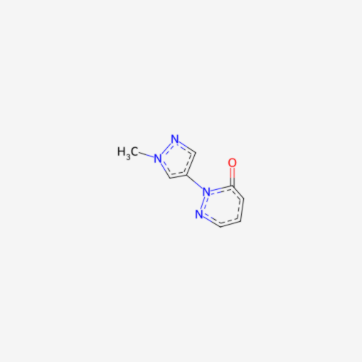 Cn1cc(-n2ncccc2=O)cn1